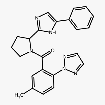 Cc1ccc(-n2nccn2)c(C(=O)N2CCCC2c2ncc(-c3ccccc3)[nH]2)c1